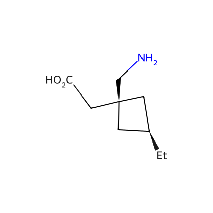 CC[C@H]1C[C@](CN)(CC(=O)O)C1